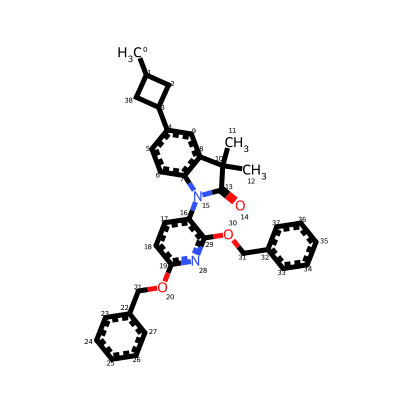 CC1CC(c2ccc3c(c2)C(C)(C)C(=O)N3c2ccc(OCc3ccccc3)nc2OCc2ccccc2)C1